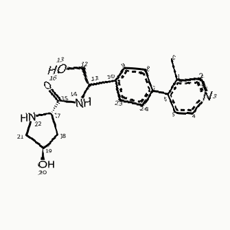 Cc1cnccc1-c1ccc([C@H](CO)NC(=O)[C@@H]2C[C@@H](O)CN2)cc1